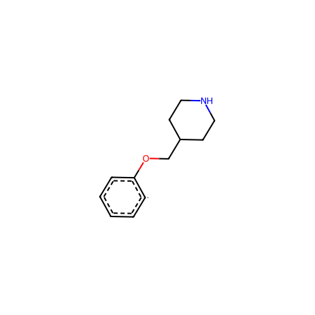 [c]1ccccc1OCC1CCNCC1